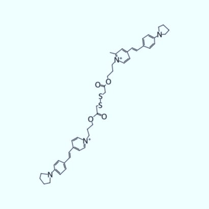 Cc1cc(/C=C/c2ccc(N3CCCC3)cc2)cc[n+]1CCCOC(=O)CSSCC(=O)OCCC[n+]1ccc(/C=C/c2ccc(N3CCCC3)cc2)cc1